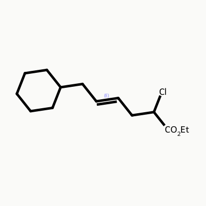 CCOC(=O)C(Cl)C/C=C/CC1CCCCC1